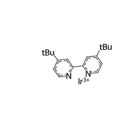 CC(C)(C)c1ccnc(-c2cc(C(C)(C)C)ccn2)c1.[Ir+3]